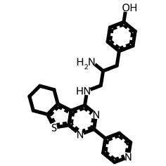 NC(CNc1nc(-c2ccncc2)nc2sc3c(c12)CCCC3)Cc1ccc(O)cc1